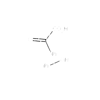 CC(C)C(=O)C(=O)O.CC(C)O